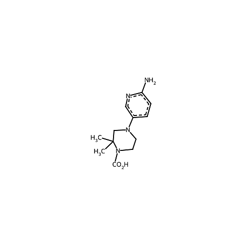 CC1(C)CN(c2ccc(N)nc2)CCN1C(=O)O